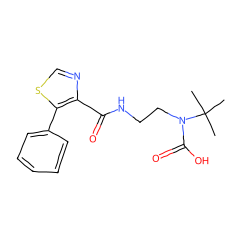 CC(C)(C)N(CCNC(=O)c1ncsc1-c1ccccc1)C(=O)O